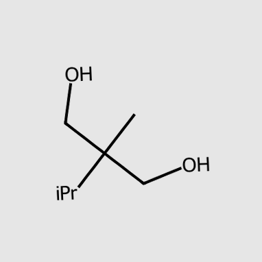 CC(C)C(C)(CO)CO